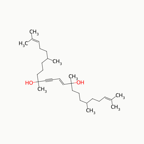 CC(C)=CCCC(C)CCCC(C)(O)C#CC=CC(C)(O)CCCC(C)CCC=C(C)C